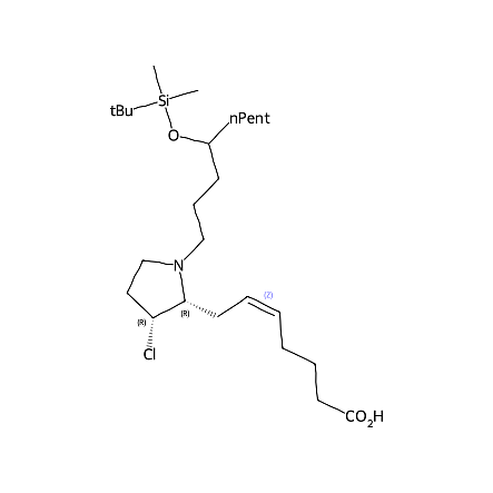 CCCCCC(CCCN1CC[C@@H](Cl)[C@H]1C/C=C\CCCC(=O)O)O[Si](C)(C)C(C)(C)C